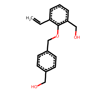 C=Cc1cccc(CO)c1OCc1ccc(CO)cc1